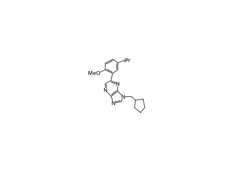 COc1ccc(C(C)C)cc1-c1cnc2ncn(CC3CCCC3)c2n1